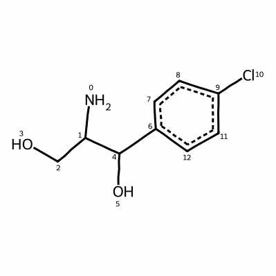 NC(CO)C(O)c1ccc(Cl)cc1